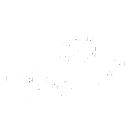 Cc1cc(NC(=O)c2c(N)nn3ccc(-c4cc5c(c(NS(C)(=O)=O)c4)C(=O)N(C(C)C4CC4)C5)nc23)cc(C)n1